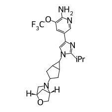 CC(C)c1nc(-c2cnc(N)c(OC(F)(F)F)c2)cn1C1C2CC(N3C[C@@H]4C[C@H]3CO4)CC21